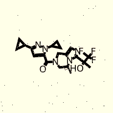 C[C@H]1CN(C(=O)c2cc(C3CC3)nn2C2CC2)Cc2cnc(C(C)(O)C(F)(F)F)n21